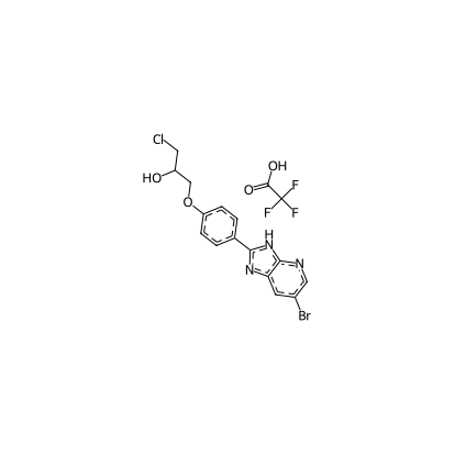 O=C(O)C(F)(F)F.OC(CCl)COc1ccc(-c2nc3cc(Br)cnc3[nH]2)cc1